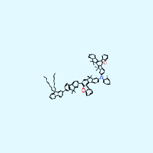 CCCCCCCC1(CCCCCCC)c2ccccc2-c2ccc(-c3ccc4c(c3)C(C)(C)c3cc(-c5cc6c(c7c5oc5ccccc57)-c5ccc(N(c7ccc8c(c7)C(C)(C)c7c9c(c%10c(oc%11ccccc%11%10)c7-8)-c7ccccc7C9(C)C)c7ccccc7C)cc5C6(C)C)ccc3-4)cc21